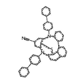 N#Cc1cc2c3sc4c5c(cccc5c5ccccc5n2-c2ccc(-c5ccccc5)cc2)ccc4n(-c2ccc(-c4ccccc4)cc2)c3c1